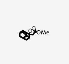 COC(=O)CC1(O)C2CC3CC(C2)CC1C3